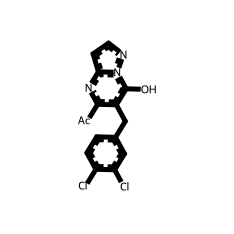 CC(=O)c1nc2ccnn2c(O)c1Cc1ccc(Cl)c(Cl)c1